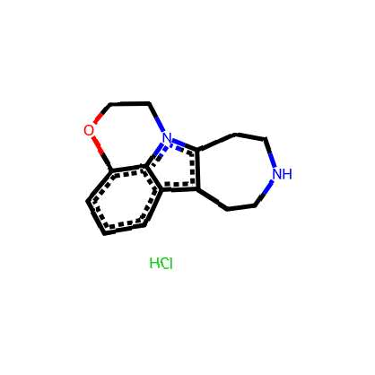 Cl.c1cc2c3c(c1)c1c(n3CCO2)CCNCC1